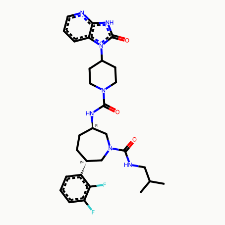 CC(C)CNC(=O)N1C[C@H](NC(=O)N2CCC(n3c(=O)[nH]c4ncccc43)CC2)CC[C@@H](c2cccc(F)c2F)C1